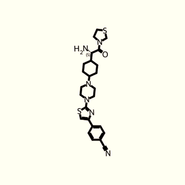 N#Cc1ccc(-c2csc(N3CCN(C4CCC([C@H](N)C(=O)N5CCSC5)CC4)CC3)n2)cc1